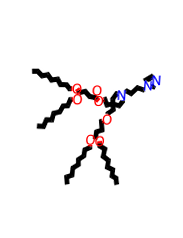 CCCCCCCCCOC(CCCOCCC1(CCOC(=O)CCC(OCCCCCCCCC)OCCCCCCCCC)CCN(CCCCn2ccnc2)CC1)OCCCCCCCCC